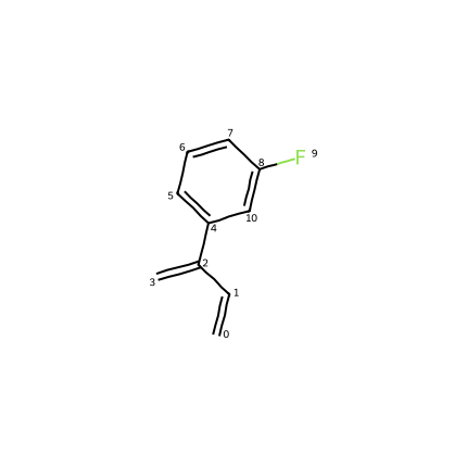 C=CC(=C)c1cccc(F)c1